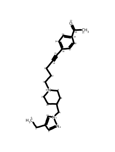 CCc1cnn(CC2CCN(CCCC#Cc3ccc(C(C)=O)cc3)CC2)c1